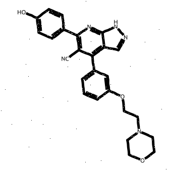 N#Cc1c(-c2ccc(O)cc2)nc2[nH]ncc2c1-c1cccc(OCCN2CCOCC2)c1